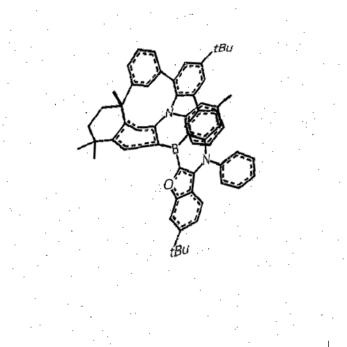 Cc1cc2c3c(c1)N(c1ccccc1)c1c(oc4cc(C(C)(C)C)ccc14)B3c1cc3c4cc1N2c1c(-c2ccccc2)cc(C(C)(C)C)cc1-c1cccc(c1)C4(C)CCC3(C)C